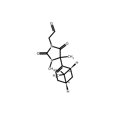 CN1C(=O)N(CC=O)C(=O)C1(C)C1=CC[C@H]2C[C@@H]1C2(C)C